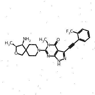 C[C@@H]1OCC2(CCN(c3nc4[nH]nc(C#Cc5ccccc5C(F)(F)F)c4c(=O)n3C)CC2)[C@@H]1N